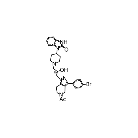 CC(=O)N1CCc2c(c(-c3ccc(Br)cc3)nn2C[C@H](O)CN2CCC(n3c(=O)[nH]c4ccccc43)CC2)C1